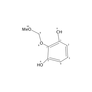 [CH]c1cccc(O)c1OCOC